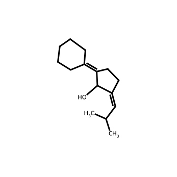 CC(C)C=C1CCC(=C2CCCCC2)C1O